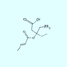 CC=CC(=O)OC([CH]P)(CC)CC(=O)O